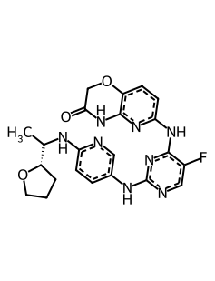 CC(Nc1ccc(Nc2ncc(F)c(Nc3ccc4c(n3)NC(=O)CO4)n2)cn1)[C@@H]1CCCO1